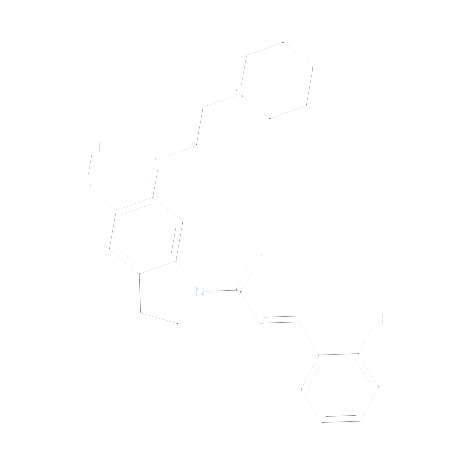 COc1cc2c(cc1OCCN1CCCCC1)N(C(=O)C=Cc1ccccc1Cl)CC2